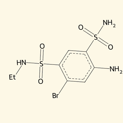 CCNS(=O)(=O)c1cc(S(N)(=O)=O)c(N)cc1Br